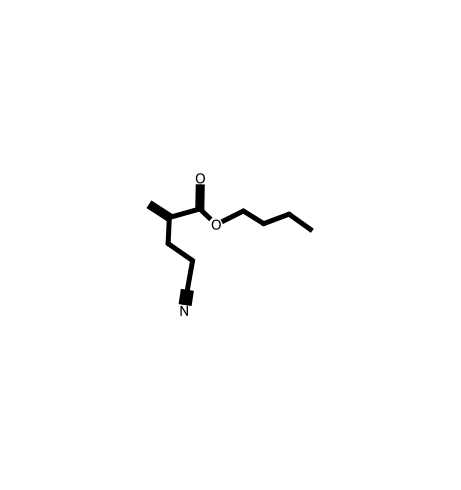 C=C(CCC#N)C(=O)OCCCC